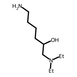 CCN(CC)CC(O)CCCCN